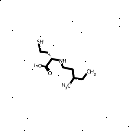 CCC(C)CCN[C@@H](CCS)C(=O)O